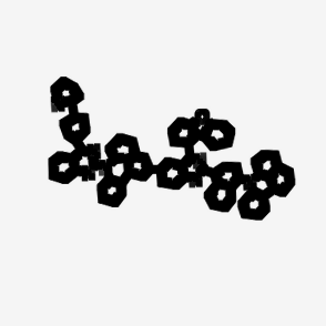 c1ccc(-c2ccc(-c3nc(N4c5ccccc5-c5cc(-c6ccc7nc(-c8ccc(N9c%10ccccc%10-c%10cccc%11cccc9c%10%11)c9ccccc89)nc(-c8cccc9oc%10ccccc%10c89)c7c6)cc6cccc4c56)nc4ccccc34)cc2)nc1